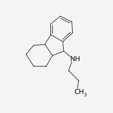 CCCNC1c2ccccc2C2CCCCC21